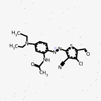 CCN(CC)c1ccc(/N=N/c2sc(C=O)c(Cl)c2C#N)c(NC(C)=O)c1